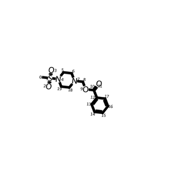 CS(=O)(=O)N1CCN(COC(=O)c2ccccc2)CC1